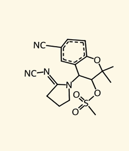 CC1(C)Oc2ccc(C#N)cc2C(N2CCCC2=NC#N)C1OS(C)(=O)=O